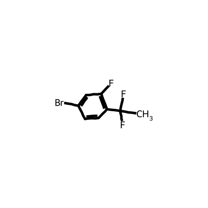 CC(F)(F)c1ccc(Br)cc1F